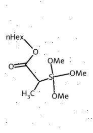 CCCCCCOC(=O)C(C)[Si](OC)(OC)OC